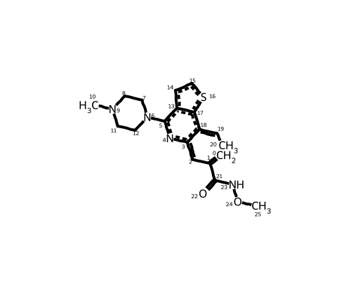 C=C(/C=c1/nc(N2CCN(C)CC2)c2ccsc2/c1=C/C)C(=O)NOC